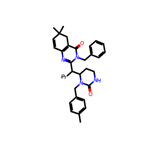 Cc1ccc(CN2C(=O)NCCC2C(c2nc3c(c(=O)n2Cc2ccccc2)CC(C)(C)C=C3)C(C)C)cc1